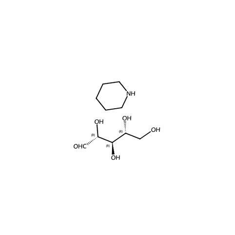 C1CCNCC1.O=C[C@H](O)[C@H](O)[C@H](O)CO